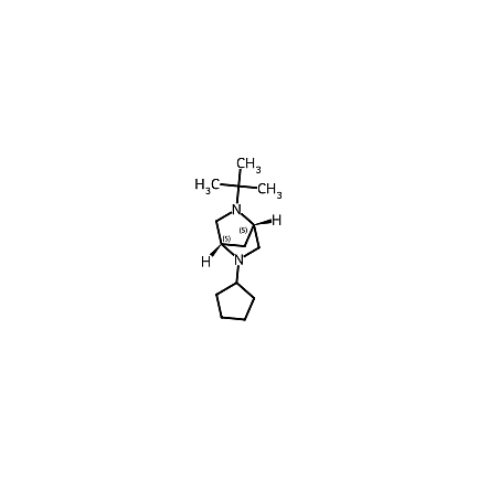 CC(C)(C)N1C[C@@H]2C[C@H]1CN2C1CCCC1